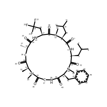 CC(C)C[C@@H]1NC(=O)[C@H](CC(C)C)N(C)C(=O)[C@H](CC(F)(F)F)NC(=O)[C@@H](C)CC(=O)[C@H](C)N(C)C(=O)CNC(=O)[C@H](Cc2ccccc2)N(C)C1=O